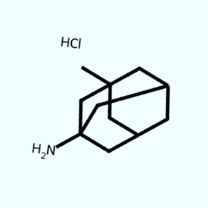 CC12CC3CC(C1)CC(N)(C3)C2.Cl